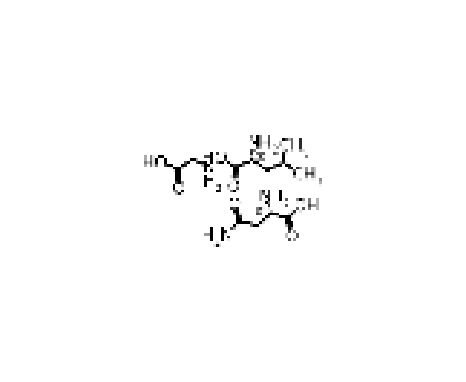 CC(C)C[C@H](N)C(=O)O.NC(=O)C[C@H](N)C(=O)O.NCC(=O)O